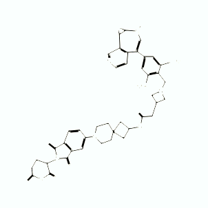 COc1cc(C2=CN(C)C3OC3c3cnccc32)cc(OC)c1CN1CC(CC(=O)NC2CC3(CCN(c4ccc5c(c4)C(=O)N(C4CCC(=O)NC4=O)C5=O)CC3)C2)C1